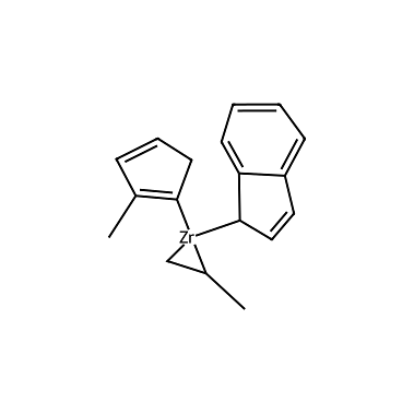 CC1=[C]([Zr]2([CH]3C=Cc4ccccc43)[CH2][CH]2C)CC=C1